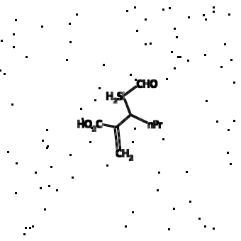 C=C(C(=O)O)C(CCC)[SiH2]C=O